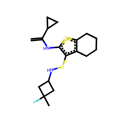 C=C(Nc1sc2c(c1SNC1CC(C)(F)C1)CCCC2)C1CC1